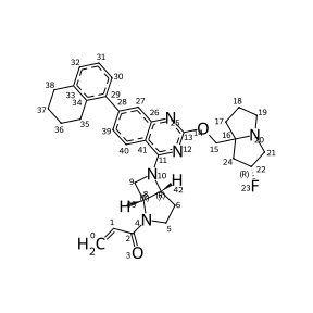 C=CC(=O)N1CC[C@@H]2[C@H]1CN2c1nc(OCC23CCCN2C[C@H](F)C3)nc2cc(-c3cccc4c3CCCC4)ccc12